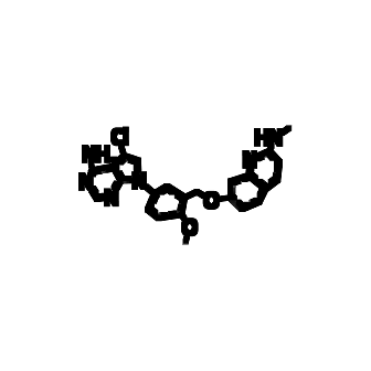 CNc1ccc2ccc(OCc3cc(-n4cc(Cl)c5c(N)ncnc54)ccc3OC)cc2n1